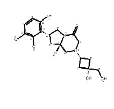 O=C1CN([C@H]2C[C@](O)(CO)C2)C[C@@H]2C[C@H](c3c(O)ccc(Cl)c3Cl)CN12